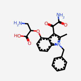 Cc1c(C(=O)C(N)=O)c2c(OC(CN)C(=O)O)cccc2n1Cc1ccccc1